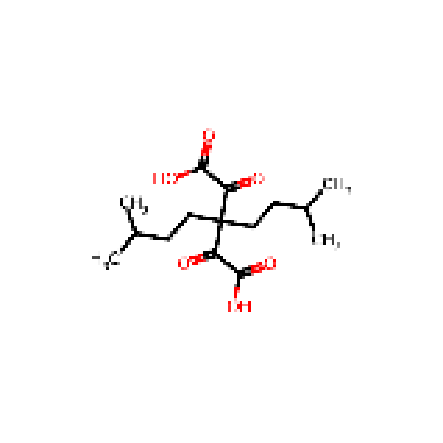 CC(C)CCC(CCC(C)C)(C(=O)C(=O)O)C(=O)C(=O)O